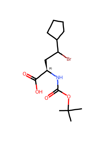 CC(C)(C)OC(=O)N[C@H](CC(Br)C1CCCC1)C(=O)O